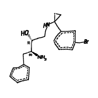 N[C@@H](Cc1ccccc1)[C@H](O)CNC1(c2cccc(Br)c2)CC1